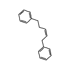 C(=C/Cc1ccccc1)/CCc1ccccc1